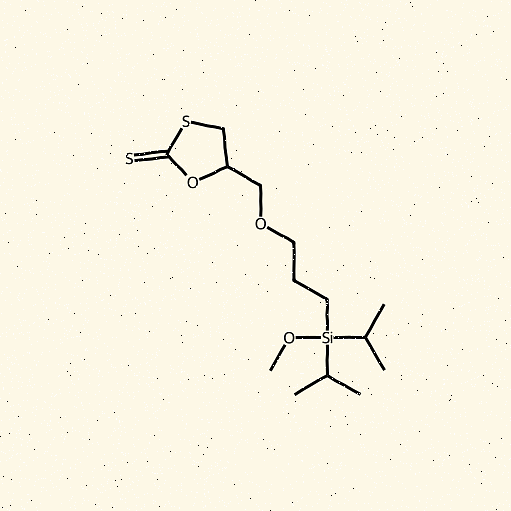 CO[Si](CCCOCC1CSC(=S)O1)(C(C)C)C(C)C